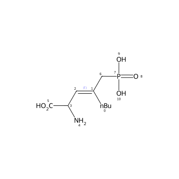 CCCC/C(=C\C(N)C(=O)O)CP(=O)(O)O